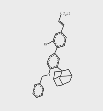 CCOC(=O)/C=C/c1ccc(-c2ccc(OCc3ccccc3)c(C34CC5CC(CC(C5)C3)C4)c2)c(Br)c1